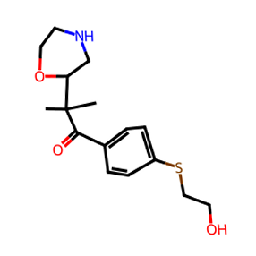 CC(C)(C(=O)c1ccc(SCCO)cc1)C1CNCCO1